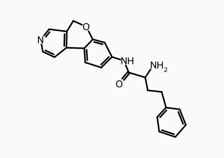 NC(CCc1ccccc1)C(=O)Nc1ccc2c(c1)OCc1cnccc1-2